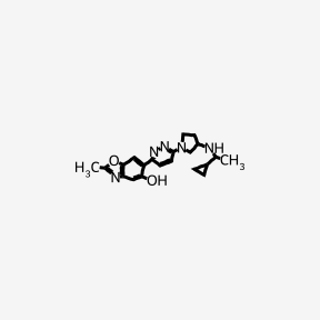 Cc1nc2cc(O)c(-c3ccc(N4CCC(NC(C)C5CC5)C4)nn3)cc2o1